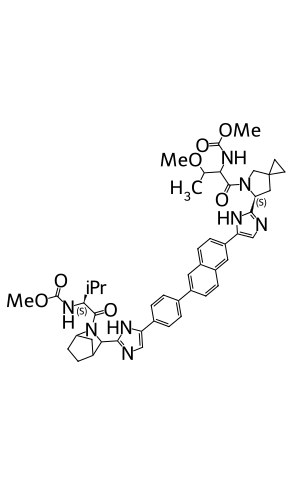 COC(=O)NC(C(=O)N1CC2(CC2)C[C@H]1c1ncc(-c2ccc3cc(-c4ccc(-c5cnc(C6C7CCC(C7)N6C(=O)[C@@H](NC(=O)OC)C(C)C)[nH]5)cc4)ccc3c2)[nH]1)C(C)OC